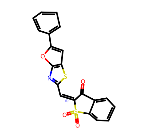 O=C1/C(=C\c2nc3oc(-c4ccccc4)cc3s2)S(=O)(=O)c2ccccc21